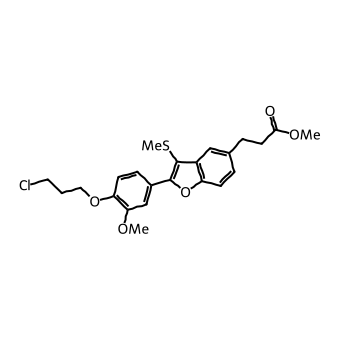 COC(=O)CCc1ccc2oc(-c3ccc(OCCCCl)c(OC)c3)c(SC)c2c1